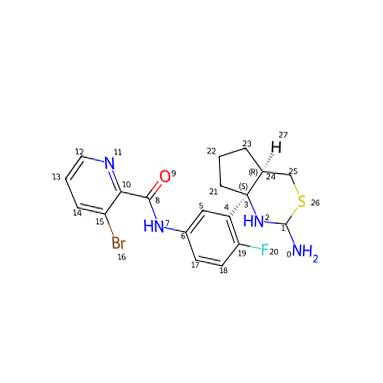 NC1N[C@@]2(c3cc(NC(=O)c4ncccc4Br)ccc3F)CCC[C@H]2CS1